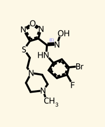 CN1CCN(CCSc2nonc2/C(=N\O)Nc2ccc(F)c(Br)c2)CC1